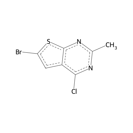 Cc1nc(Cl)c2cc(Br)sc2n1